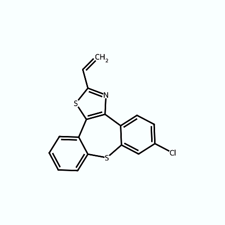 C=Cc1nc2c(s1)-c1ccccc1Sc1cc(Cl)ccc1-2